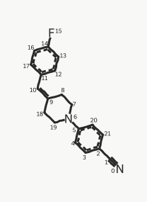 N#Cc1ccc(N2CCC(=Cc3ccc(F)cc3)CC2)cc1